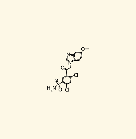 COc1ccc2c(c1)ncn2CC(=O)c1cc(S(N)(=O)=O)c(Cl)cc1Cl